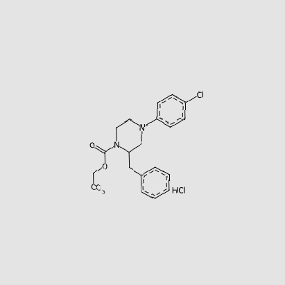 Cl.O=C(OCC(Cl)(Cl)Cl)N1CCN(c2ccc(Cl)cc2)CC1Cc1ccccc1